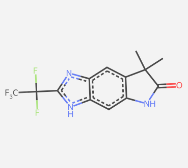 CC1(C)C(=O)Nc2cc3[nH]c(C(F)(F)C(F)(F)F)nc3cc21